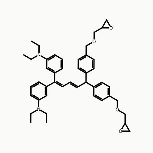 CCN(CC)c1cccc(C(=CC=CC(c2ccc(COCC3CO3)cc2)c2ccc(COCC3CO3)cc2)c2cccc(N(CC)CC)c2)c1